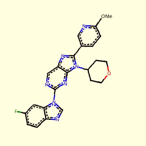 COc1ccc(-c2nc3cnc(-n4cnc5ccc(F)cc54)nc3n2C2CCOCC2)cn1